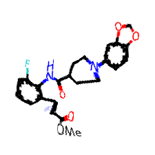 COC(=O)/C=C/c1cccc(F)c1NC(=O)C1CCN(c2ccc3c(c2)OCO3)CC1